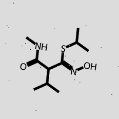 CNC(=O)C(C(=NO)SC(C)C)C(C)C